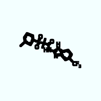 Cc1cccc(S(=O)(=O)C(C)(C)C(=O)Nc2nc3cc(C(F)(F)F)ccc3[nH]2)c1